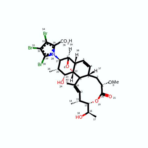 CO[C@H]1C[C@H]2C=C[C@H]3[C@H]4O[C@]2(/C(C)=C/[C@@H](C)[C@@H]([C@@H](C)O)OC1=O)[C@@H]3[C@H](O)[C@H](C)[C@H]4n1c(Br)c(Br)c(Br)c1C(=O)O